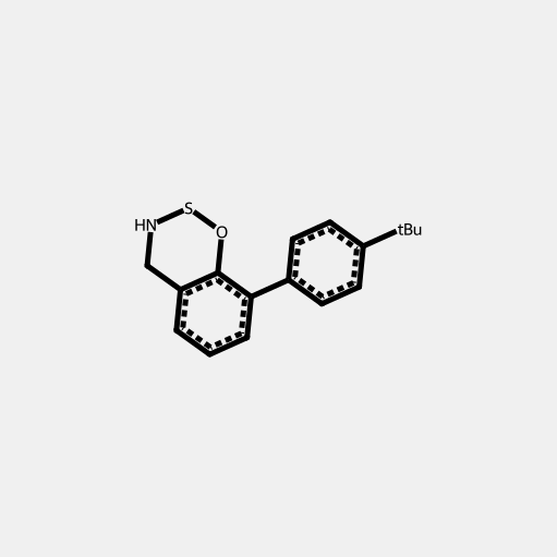 CC(C)(C)c1ccc(-c2cccc3c2OSNC3)cc1